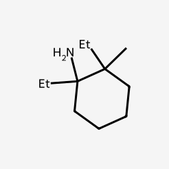 CCC1(C)CCCCC1(N)CC